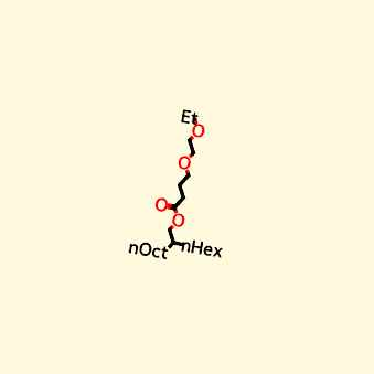 CCCCCCCCC(CCCCCC)COC(=O)CCCOCCOCC